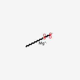 CCCCCCCCCCCCCCOC(=O)C=CC(=O)[O-].[Mg+]